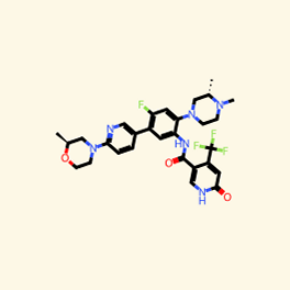 C[C@H]1CN(c2ccc(-c3cc(NC(=O)c4c[nH]c(=O)cc4C(F)(F)F)c(N4CCN(C)[C@@H](C)C4)cc3F)cn2)CCO1